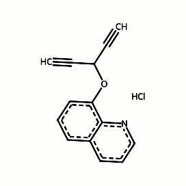 C#CC(C#C)Oc1cccc2cccnc12.Cl